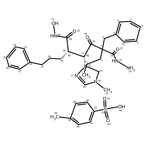 CCCC(Cc1ccccc1)(C(=O)NN)C(=O)[C@@H]([C@H](CCCc1ccccc1)C(=O)NO)N1CN(C)C=N1.Cc1ccc(S(=O)(=O)O)cc1